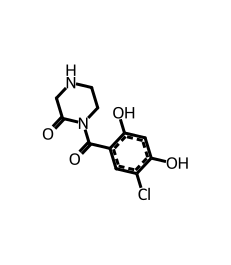 O=C1CNCCN1C(=O)c1cc(Cl)c(O)cc1O